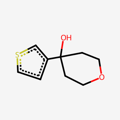 OC1(c2ccsc2)CCOCC1